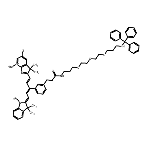 CCCC[n+]1cc(Cl)cc2c1N=C(/C=C/C(=C/C=C1\N(CCC)c3ccccc3C1(C)C)c1cccc(CCC(=O)NCCCOCCOCCOCCCNC(c3ccccc3)(c3ccccc3)c3ccccc3)c1)C2(C)C